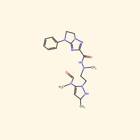 CC1C=C(N(C)C=O)N(CCN(C)NC(=O)c2nc3n(n2)CCN3c2ccccc2)N1